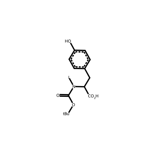 CC(C)(C)OC(=O)N(I)C(Cc1ccc(O)cc1)C(=O)O